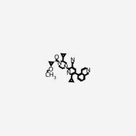 CCO[C@@H]1C[C@@H]1C(=O)N1CCN(c2nc(C3CC3)c(-c3cccc4cnccc34)cc2C#N)CC1C1CC1